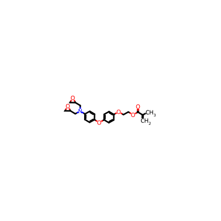 C=C(C)C(=O)OCCOc1ccc(Oc2ccc(N(CC3CO3)CC3CO3)cc2)cc1